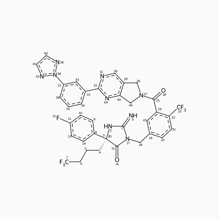 N=C1N[C@](CCCC(F)(F)F)(c2ccc(F)cc2)C(=O)N1Cc1ccc(C(F)(F)F)c(C(=O)N2Cc3cnc(-c4cccc(-n5nccn5)c4)nc3C2)c1